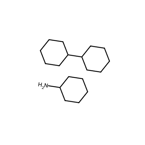 C1CCC(C2CCCCC2)CC1.NC1CCCCC1